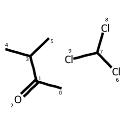 CC(=O)C(C)C.ClC(Cl)Cl